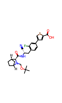 CC(C)(C)OCN1[C@@H]2CC[C@@H](C2)[C@H]1C(=O)N[C@H](C#N)Cc1ccc(-c2csc(C(=O)O)c2)cc1F